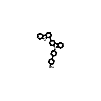 CC(C)(C)c1ccc(-c2ccc(-n3c4ccccc4c4cc(-c5cccc6c5oc5ccccc56)ccc43)cc2)cc1